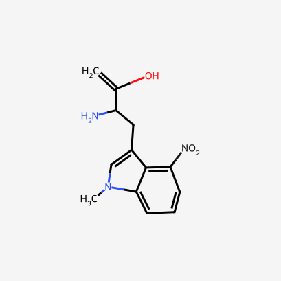 C=C(O)C(N)Cc1cn(C)c2cccc([N+](=O)[O-])c12